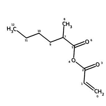 C=CC(=O)OC(=O)C(C)CCCC